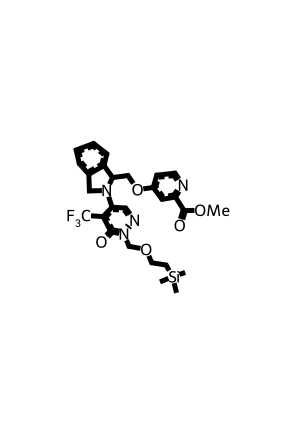 COC(=O)c1cc(OCC2c3ccccc3CN2c2cnn(COCC[Si](C)(C)C)c(=O)c2C(F)(F)F)ccn1